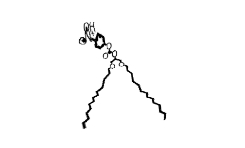 CCCCCCCCCCCCCCOCC(COCCCCCCCCCCCCCC)OC(=O)Oc1ccc([N+](=O)O)cc1